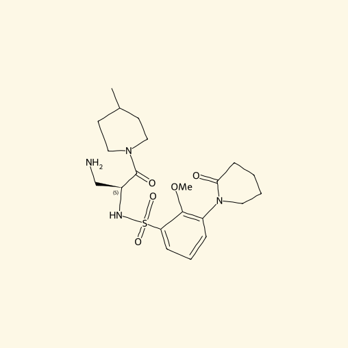 COc1c(N2CCCCC2=O)cccc1S(=O)(=O)N[C@@H](CN)C(=O)N1CCC(C)CC1